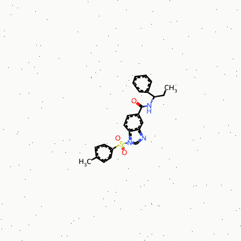 CCC(NC(=O)c1ccc2c(c1)ncn2S(=O)(=O)c1ccc(C)cc1)c1ccccc1